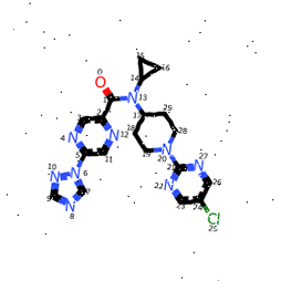 O=C(c1cnc(-n2cncn2)cn1)N(C1CC1)C1CCN(c2ncc(Cl)cn2)CC1